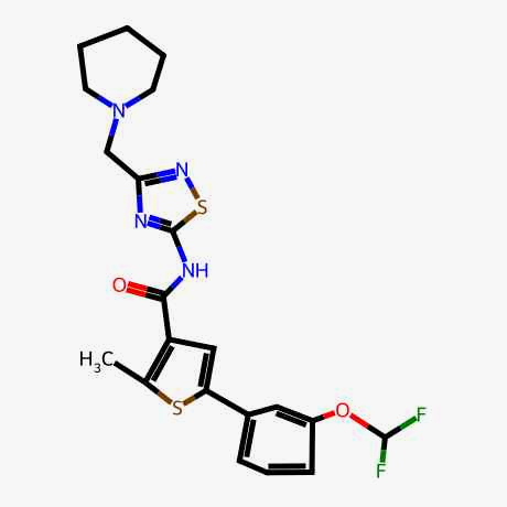 Cc1sc(-c2cccc(OC(F)F)c2)cc1C(=O)Nc1nc(CN2CCCCC2)ns1